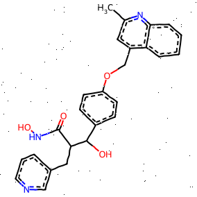 Cc1cc(COc2ccc(C(O)C(Cc3cccnc3)C(=O)NO)cc2)c2ccccc2n1